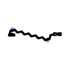 CCCC/C=C\CCCCCCCC/C=C\CC=O